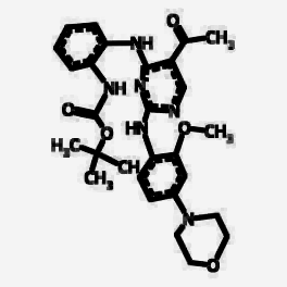 COc1cc(N2CCOCC2)ccc1Nc1ncc(C(C)=O)c(Nc2ccccc2NC(=O)OC(C)(C)C)n1